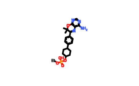 CCOP(=O)(O)OC1CCC(c2ccc(C3=Nc4c(N)ncnc4OC3(C)C)cc2)CC1